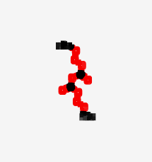 CCCCOOOC(=O)OC(=O)OOOCCCC